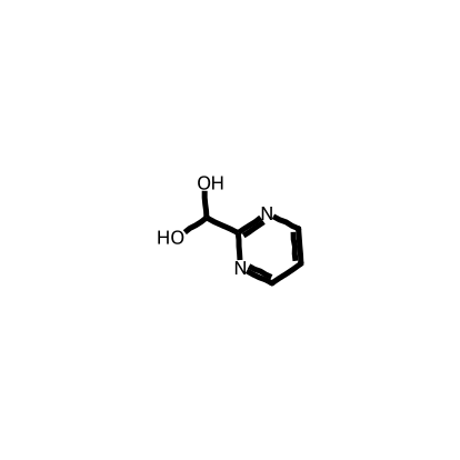 OC(O)c1ncccn1